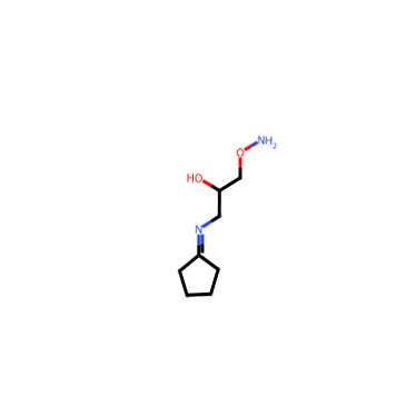 NOCC(O)CN=C1CCCC1